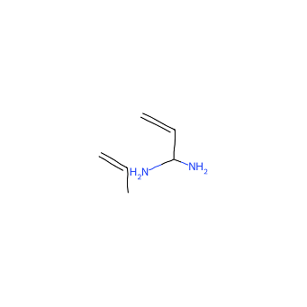 C=CC.C=CC(N)N